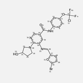 O=C(Nc1ccc(OC(F)(F)Cl)cc1)c1cnc(N2CCC(O)C2)c(N=Cc2ccc(Br)o2)c1